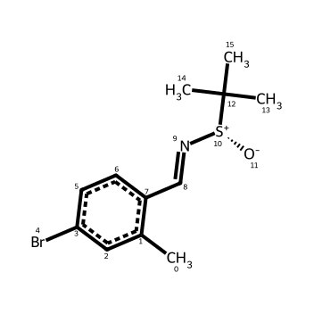 Cc1cc(Br)ccc1C=N[S@@+]([O-])C(C)(C)C